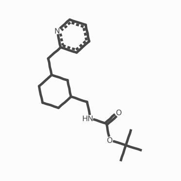 CC(C)(C)OC(=O)NCC1CCCC(Cc2ccccn2)C1